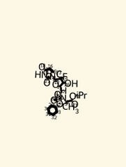 CC(C)OC(=O)[C@H](C)NP(=O)(OC[C@H]1O[C@@H](n2ccc(=O)[nH]c2=O)C(C)(F)C1O)Oc1ccccc1